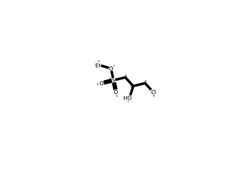 CCOS(=O)(=O)CC(O)CCl